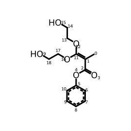 CC(C(=O)Oc1ccccc1)=C(OCCO)OCCO